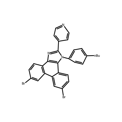 CCCCc1ccc(-n2c(-c3ccncc3)nc3c4ccc(Br)cc4c4cc(Br)ccc4c32)cc1